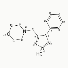 Cl.c1ccc(-n2nnnc2CN2CCOCC2)cc1